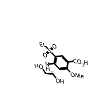 CCS(=O)(=O)c1cc(C(=O)O)c(OC)cc1N.OCCO